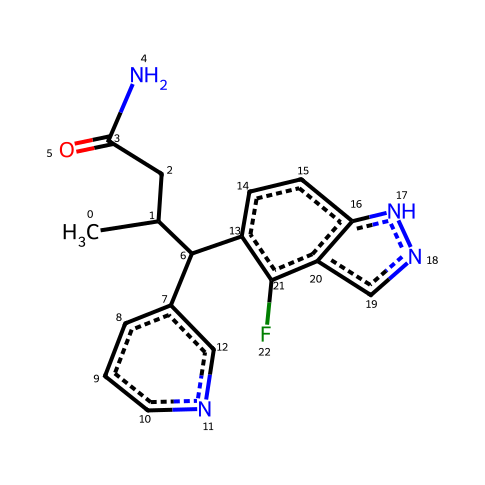 CC(CC(N)=O)C(c1cccnc1)c1ccc2[nH]ncc2c1F